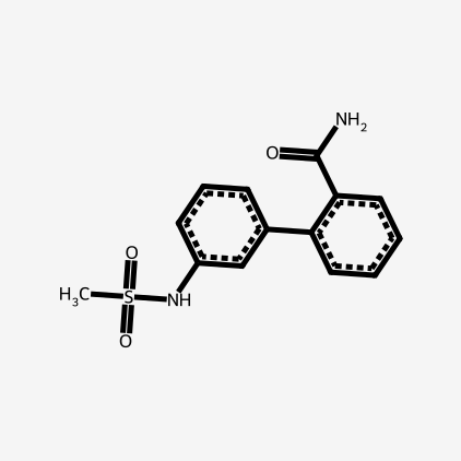 CS(=O)(=O)Nc1cccc(-c2ccccc2C(N)=O)c1